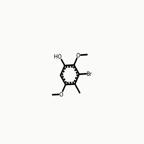 COc1cc(O)c(OC)c(Br)c1C